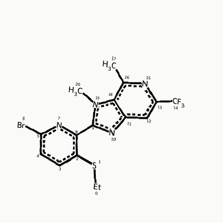 CCSc1ccc(Br)nc1-c1nc2cc(C(F)(F)F)nc(C)c2n1C